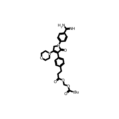 CC(C)(C)C(=O)OCOC(=O)CCc1ccc(C2=C(N3CCOCC3)CN(c3ccc(C(=N)N)cc3)C2=O)cc1